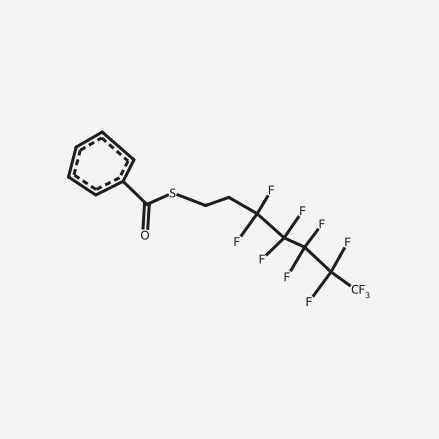 O=C(SCCC(F)(F)C(F)(F)C(F)(F)C(F)(F)C(F)(F)F)c1ccccc1